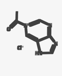 CC(=O)[n+]1cnc2nc[nH]c2c1.[Cl-]